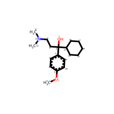 COc1ccc(C(O)(CCN(C)C)C2CCCCC2)cc1